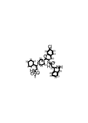 CS(=O)(=O)NCC(C1CCCCC1)N1CCN(C(=O)[C@@H](Cc2ccc(Cl)cc2)NC(=O)CC2NCCc3ccccc32)CC1